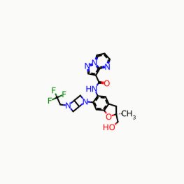 C[C@@]1(CO)Cc2cc(NC(=O)c3cnn4cccnc34)c(N3CC4C3CN4CC(F)(F)F)cc2O1